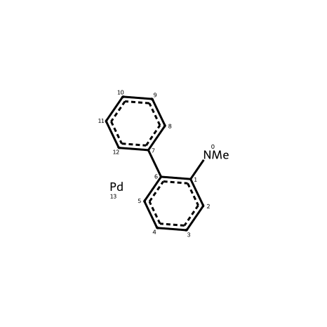 CNc1ccccc1-c1ccccc1.[Pd]